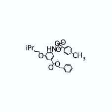 Cc1ccc(S(=O)(=O)ONc2cc(OCCC(C)C)cc(C(=O)OCc3ccccc3)c2)cc1